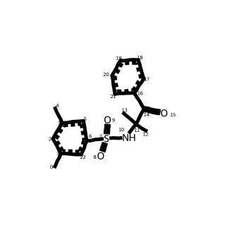 Cc1cc(C)cc(S(=O)(=O)NC(C)(C)C(=O)c2ccccc2)c1